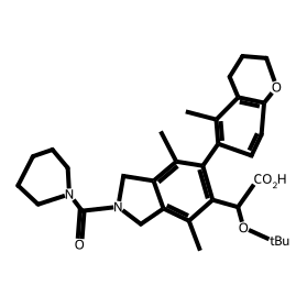 Cc1c(-c2c(C)c3c(c(C)c2C(OC(C)(C)C)C(=O)O)CN(C(=O)N2CCCCC2)C3)ccc2c1CCCO2